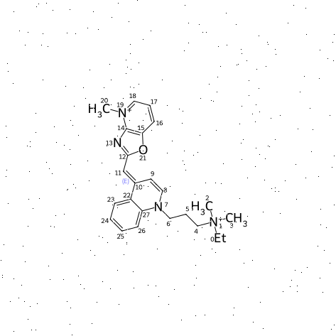 CC[N+](C)(C)CCCN1C=C/C(=C\c2nc3c(ccc[n+]3C)o2)c2ccccc21